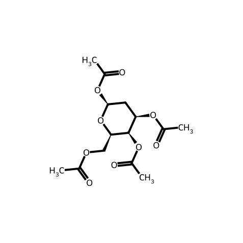 CC(=O)OC[C@H]1O[C@@H](OC(C)=O)C[C@@H](OC(C)=O)[C@H]1OC(C)=O